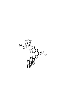 O.O.O.O.O.[MgH2].[Nb].[Nb].[Ta]